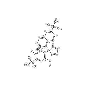 COc1cc(S(=O)(=O)O)c(C)cc1C1(c2c(O)ccc3cc(S(=O)(=O)O)ccc23)C=CC=N1